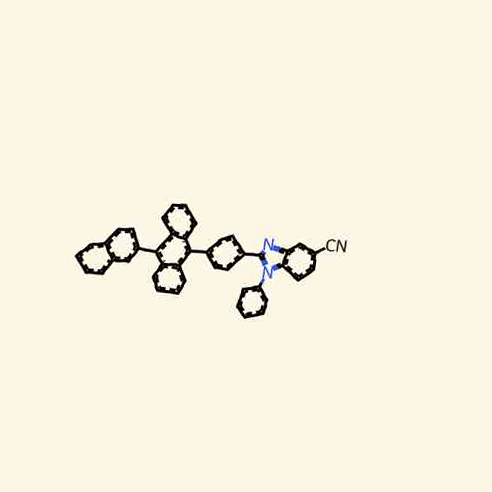 N#Cc1ccc2c(c1)nc(-c1ccc(-c3c4ccccc4c(-c4ccc5ccccc5c4)c4ccccc34)cc1)n2-c1ccccc1